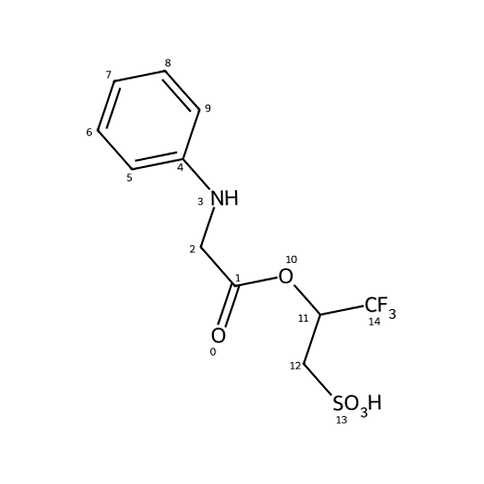 O=C(CNc1ccccc1)OC(CS(=O)(=O)O)C(F)(F)F